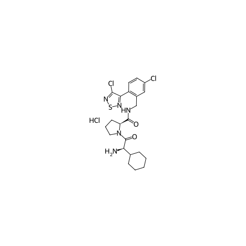 Cl.N[C@@H](C(=O)N1CCC[C@H]1C(=O)NCc1cc(Cl)ccc1-c1nsnc1Cl)C1CCCCC1